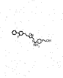 NC(=NCc1cc(CCc2ccc(-c3ccccc3)c(F)c2)on1)N1CCN(CCO)CC1